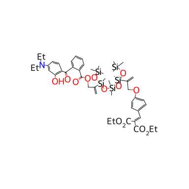 C=C(COC(=O)c1ccccc1C(=O)c1ccc(N(CC)CC)cc1O)[Si](C)(O[Si](C)(C)C)O[Si](C)(C)O[Si](C)(O[Si](C)(C)C)C(=C)COc1ccc(C=C(C(=O)OCC)C(=O)OCC)cc1